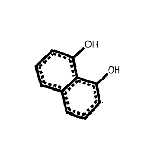 Oc1[c]ccc2cccc(O)c12